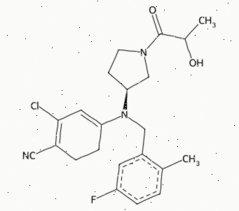 Cc1ccc(F)cc1CN(C1=CC(Cl)=C(C#N)CC1)[C@H]1CCN(C(=O)C(C)O)C1